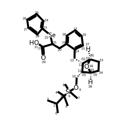 CC(C)C(C)(C)[Si](C)(C)OC[C@@H]1[C@H](Cc2ccccc2CC([Se]c2ccccc2)C(=O)O)[C@H]2CC[C@@H]1O2